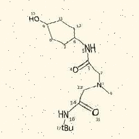 CN(CC(=O)NC1CCC(O)CC1)CC(=O)NC(C)(C)C